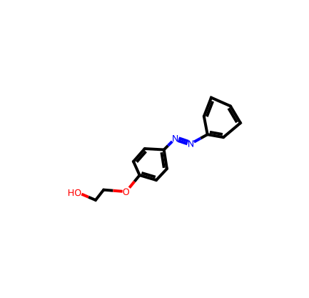 OCCOc1ccc(/N=N/c2ccccc2)cc1